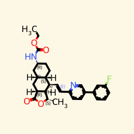 CCOC(=O)N[C@@H]1CC[C@H]2[C@@H](C1)C[C@H]1C(=O)O[C@@H](C)[C@@H]1[C@@H]2/C=C/c1ccc(-c2cccc(F)c2)cn1